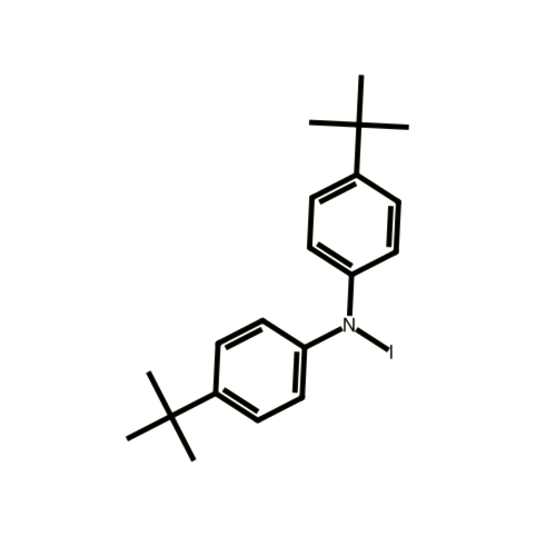 CC(C)(C)c1ccc(N(I)c2ccc(C(C)(C)C)cc2)cc1